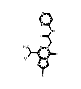 CC(C)c1nn(CC(=O)Nc2ccncn2)c(=O)n2cc(Br)nc12